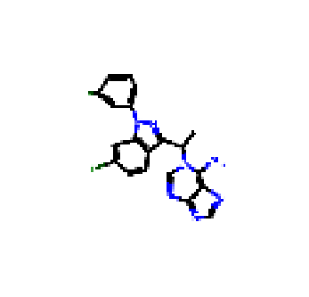 CC(c1nn(-c2cccc(F)c2)c2cc(F)ccc12)n1cnc2ncnc-2c1N